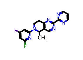 CC1c2cnc(-c3ncccn3)nc2CCN1c1cc(I)cc(F)n1